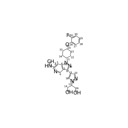 CNc1cc2c(cn1)c(-c1cnn(C(CO)CO)c1)nn2[C@H]1CC[C@@H](Oc2ccccc2F)CC1